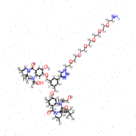 COc1cc2c(cc1OCc1cc(COc3cc4c(cc3C)C(=O)N3C=C(C)C[C@H]3[C@H](O[Si](C)(C)C(C)(C)C)N4BC=O)cc(-c3cn(CCOCCOCCOCCOCCOCCOCCN)nn3)c1)N(B(C)O)[C@@H](C)[C@@H]1CC(C)=CN1C2=O